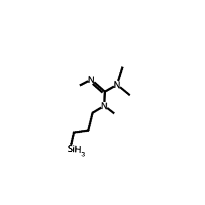 CN=C(N(C)C)N(C)CCC[SiH3]